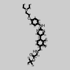 CCN(CC)CCOc1ccc(Nc2ncc(-c3ccc(CNCC(=O)OC(C)(C)C)c(F)c3F)cn2)cc1